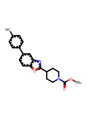 CC(C)(C)OC(=O)N1CCC(c2nc3cc(-c4ccc(C#N)cc4)ccc3o2)CC1